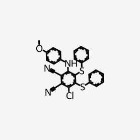 COc1ccc(Nc2c(C#N)c(C#N)c(Cl)c(Sc3ccccc3)c2Sc2ccccc2)cc1